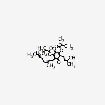 CC(C)=CCC/C(C)=C/CC1=C(OC(=O)C(C)C)C(=O)C(OC(=O)C(C)C)=C(CC=C(C)C)C1=O